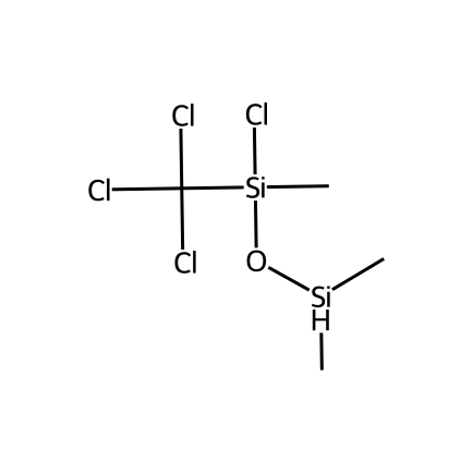 C[SiH](C)O[Si](C)(Cl)C(Cl)(Cl)Cl